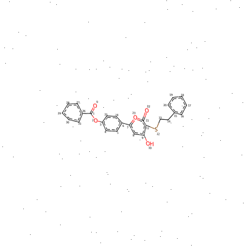 O=C(Oc1ccc(-c2cc(O)c(SCCc3ccccc3)c(=O)o2)cc1)c1ccccc1